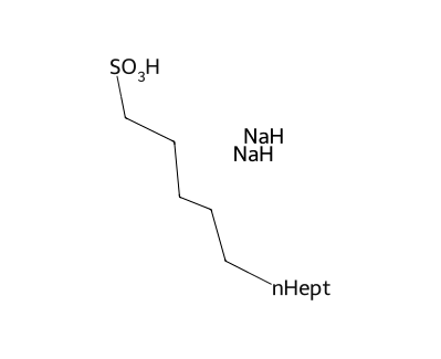 CCCCCCCCCCCCS(=O)(=O)O.[NaH].[NaH]